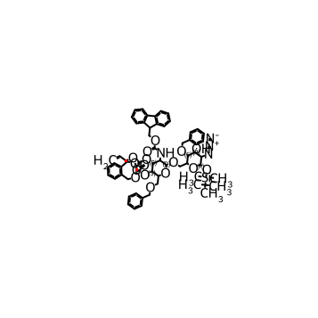 C=CCOC(=O)O[C@@H]1C(NC(=O)OCC2c3ccccc3-c3ccccc32)[C@H](OCC2O[C@H](O[Si](C)(C)C(C)(C)C)C(N=[N+]=[N-])[C@@H](O)[C@@H]2OCc2ccccc2)OC(COCc2ccccc2)[C@H]1OP1(=O)OCc2ccccc2CO1